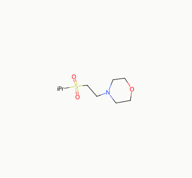 CC(C)S(=O)(=O)CCN1CCOCC1